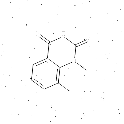 Cn1c(=O)[nH]c(=O)c2cccc(F)c21